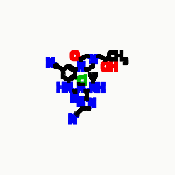 CC(O)CN1CCN(c2cc(C#N)cc(Nc3nc(NC4CC4)c4ncc(C#N)n4n3)c2Cl)C(=O)C1